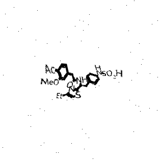 CCc1csc([C@H](Cc2ccc(NS(=O)(=O)O)cc2)NC(=O)Cc2ccc(C(C)=O)c(OC)c2)n1